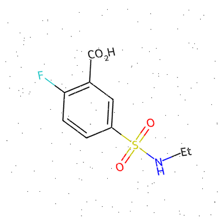 CCNS(=O)(=O)c1ccc(F)c(C(=O)O)c1